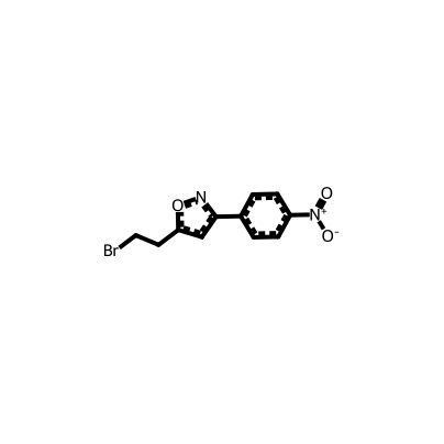 O=[N+]([O-])c1ccc(-c2cc(CCBr)on2)cc1